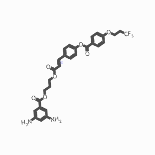 Nc1cc(N)cc(C(=O)OCCCOC(=O)/C=C/c2ccc(OC(=O)c3ccc(OCCC(F)(F)F)cc3)cc2)c1